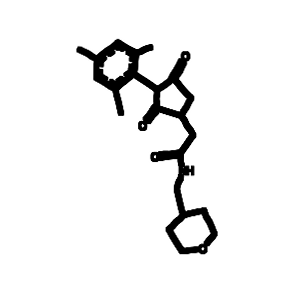 Cc1cc(C)c(C2C(=O)CC(CC(=O)NCC3CCOCC3)C2=O)c(C)c1